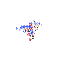 CCCCNC(=O)NC1(C(=O)N[C@H](Cc2ccccc2)C(=O)N[C@@H](CCCNC(=N)N)C(=O)N[C@H]2CC3=C/[PH](=C(/N)c4ccccc4NC2=O)c2ccccc23)CCc2c(Br)cccc2C1